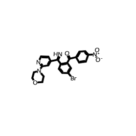 N=C(c1ccnc(N2CCOCC2)c1)c1ccc(Br)cc1C(=O)c1ccc([N+](=O)[O-])cc1